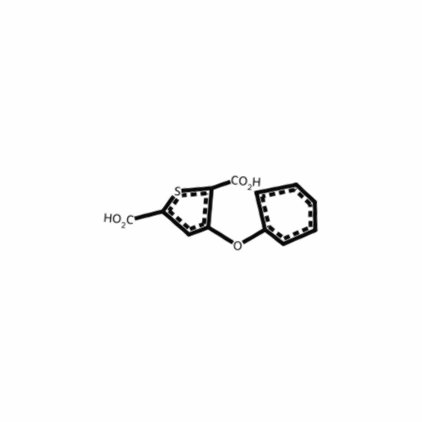 O=C(O)c1cc(Oc2ccccc2)c(C(=O)O)s1